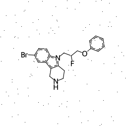 FC(COc1ccccc1)Cn1c2c(c3cc(Br)ccc31)CNCC2